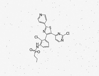 CCCS(=O)(=O)Nc1cccc(-c2nc(-c3ccncc3)sc2-c2ccnc(Cl)n2)c1Cl